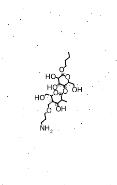 CCCCO[C@@H]1OC(CO)[C@@H](O[C@@H]2OC(CO)[C@H](COCCCN)[C@H](O)C2C)[C@H](O)C1O